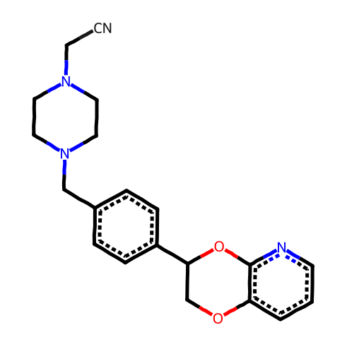 N#CCN1CCN(Cc2ccc(C3COc4cccnc4O3)cc2)CC1